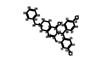 Cc1nc2c(c(=O)n1C(c1ccc(Cl)cc1)c1ccc(Cl)cc1)CCN(Cc1ccccc1)C2